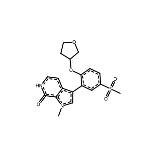 Cn1cc(-c2cc(S(C)(=O)=O)ccc2OC2CCOC2)c2cc[nH]c(=O)c21